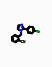 N#Cc1ccccc1Cn1ccnc1-c1ccc(Br)cc1